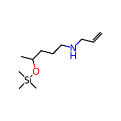 C=CCNCCCC(C)O[Si](C)(C)C